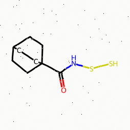 O=C(NSS)C12CCC(CC1)CC2